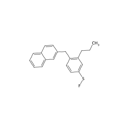 CCCc1cc(SF)ccc1Cc1ccc2ccccc2c1